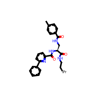 Cc1ccc(C(=O)NC[C@H](NC(=O)c2cccc(-c3ccccc3)n2)C(=O)N[CH]CC(C)C)cc1